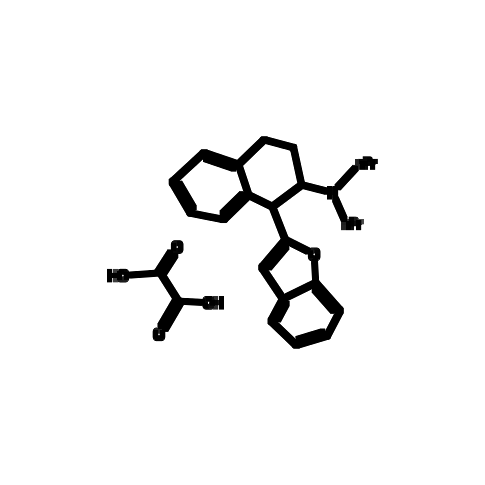 CCCN(CCC)C1CCc2ccccc2C1c1cc2ccccc2o1.O=C(O)C(=O)O